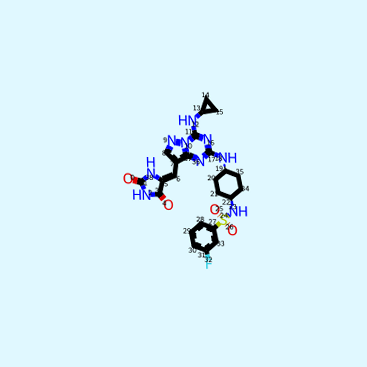 O=C1NC(=O)/C(=C/c2cnn3c(NC4CC4)nc(N[C@H]4CC[C@H](NS(=O)(=O)c5cccc(F)c5)CC4)nc23)N1